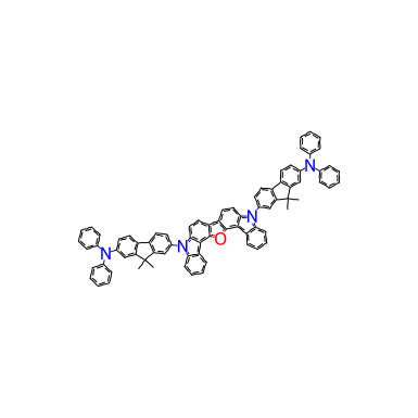 CC1(C)c2cc(N(c3ccccc3)c3ccccc3)ccc2-c2ccc(-n3c4ccccc4c4c5oc6c(ccc7c6c6ccccc6n7-c6ccc7c(c6)C(C)(C)c6cc(N(c8ccccc8)c8ccccc8)ccc6-7)c5ccc43)cc21